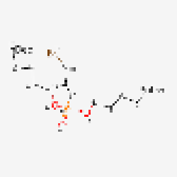 CCCCCCCCCCCCCCOP(=O)(CCCBr)OCCCCCCCCCCCCCC